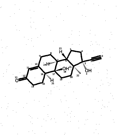 C#C[C@]1(O)CC[C@H]2[C@@H]3CCC4=CC(=O)CC[C@@H]4[C@@]3(O)CC[C@@]21C